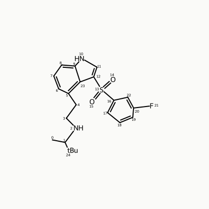 CC(NCCc1cccc2[nH]cc(S(=O)(=O)c3cccc(F)c3)c12)C(C)(C)C